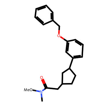 CON(C)C(=O)CC1CCC(c2cccc(OCc3ccccc3)c2)C1